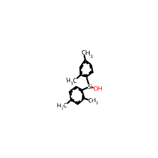 Cc1ccc([Si](O)c2ccc(C)cc2C)c(C)c1